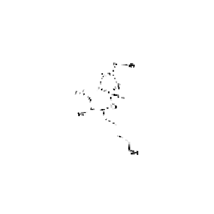 CCCNC1=NC2C(O)C(O)C(CCCCO)O[C@H]2S1